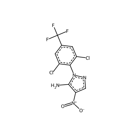 Nc1c([N+](=O)[O-])cnn1-c1c(Cl)cc(C(F)(F)F)cc1Cl